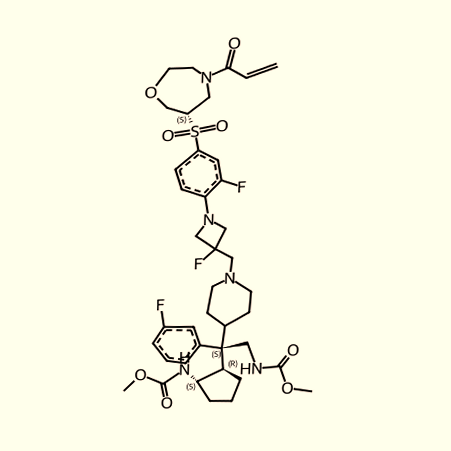 C=CC(=O)N1CCOC[C@@H](S(=O)(=O)c2ccc(N3CC(F)(CN4CCC([C@@](CNC(=O)OC)(c5cccc(F)c5)[C@H]5CCC[C@@H]5NC(=O)OC)CC4)C3)c(F)c2)C1